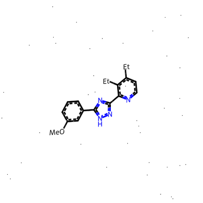 CCc1ccnc(-c2n[nH]c(-c3cccc(OC)c3)n2)c1CC